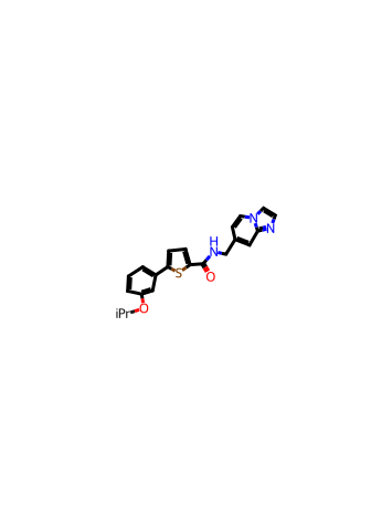 CC(C)Oc1cccc(-c2ccc(C(=O)NCc3ccn4ccnc4c3)s2)c1